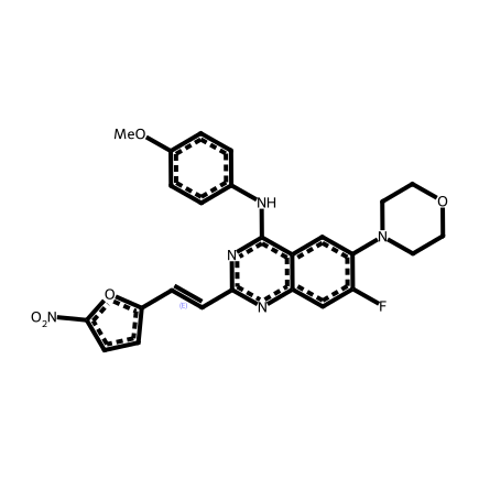 COc1ccc(Nc2nc(/C=C/c3ccc([N+](=O)[O-])o3)nc3cc(F)c(N4CCOCC4)cc23)cc1